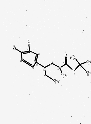 [CH2]C[C@H](CN(C)C(=O)OC(C)(C)C)c1ccc(Cl)c(Cl)c1